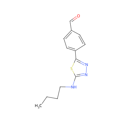 CCCCNc1nnc(-c2ccc(C=O)cc2)s1